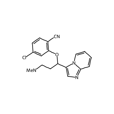 CNCCC(Oc1cc(Cl)ccc1C#N)c1cnc2ccccn12